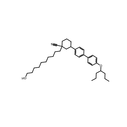 CCCC(CCC)Oc1ccc(-c2ccc(C3CCCC(C#N)(CCCCCCCCCCO)C3)cc2)cc1